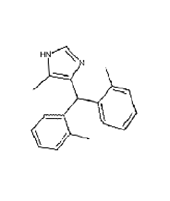 Cc1ccccc1C(c1ccccc1C)c1nc[nH]c1C